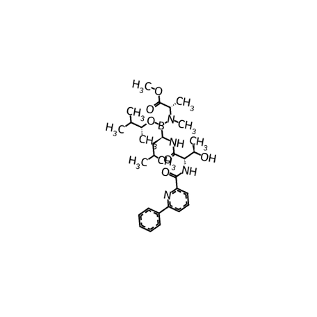 COC(=O)[C@H](C)N(C)B(O[C@H](C)C(C)C)[C@H](CC(C)C)NC(=O)[C@@H](NC(=O)c1cccc(-c2ccccc2)n1)[C@@H](C)O